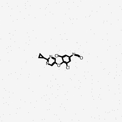 O=C=Nc1cc(Cl)c(Oc2cnc(C3CC3)nc2)c(Cl)c1